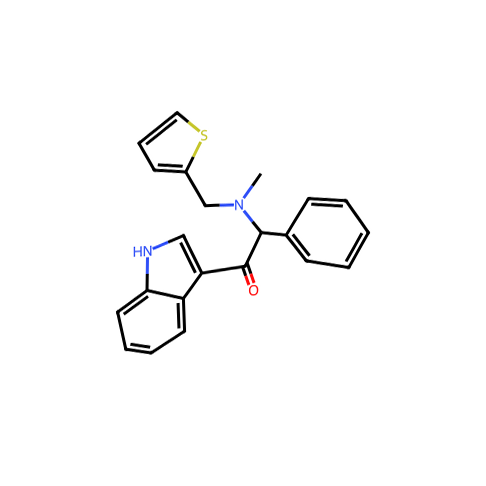 CN(Cc1cccs1)C(C(=O)c1c[nH]c2ccccc12)c1ccccc1